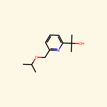 CC(C)OCc1cccc(C(C)(C)O)n1